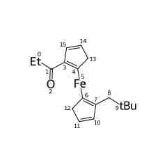 CCC(=O)C1=[C]([Fe][C]2=C(CC(C)(C)C)C=CC2)CC=C1